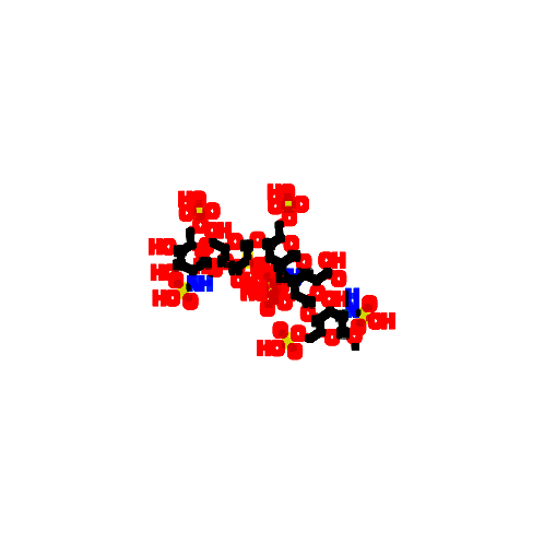 CO[C@H]1OC(COS(=O)(=O)O)[C@@H](O[C@@H]2OC(C(=O)O)[C@H](O[C@@H]3OC(COS(=O)(=O)O)[C@@H](O[C@@H]4OC(C(=O)O)[C@@H](O[C@H]5OC(COS(=O)(=O)O)[C@@H](O)[C@H](O)C5NS(=O)(=O)O)[C@H](O)C4O)C(OSOOO)[C@@H]3NS(=O)(=O)O)[C@@H](O)C2OS(=O)(=O)O)C(O)[C@@H]1NS(=O)(=O)O